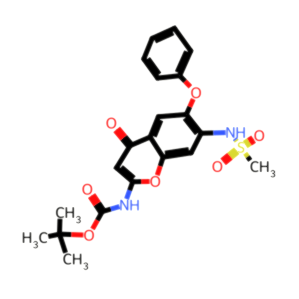 CC(C)(C)OC(=O)Nc1cc(=O)c2cc(Oc3ccccc3)c(NS(C)(=O)=O)cc2o1